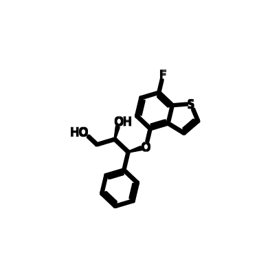 OC[C@@H](O)[C@@H](Oc1ccc(F)c2sccc12)c1ccccc1